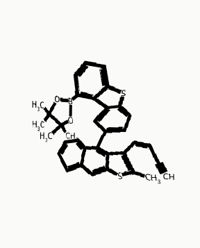 C#C/C=C\c1c(C)sc2cc3ccccc3c(-c3ccc4sc5cccc(B6OC(C)(C)C(C)(C)O6)c5c4c3)c12